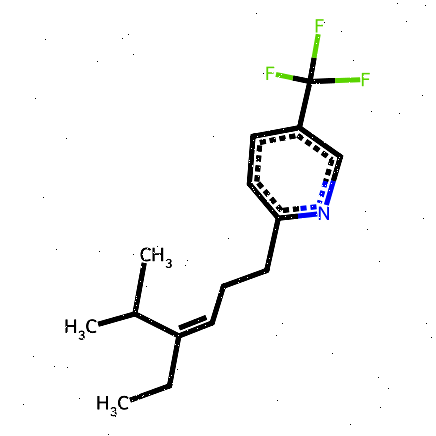 CCC(=CCCc1ccc(C(F)(F)F)cn1)C(C)C